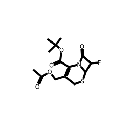 CC(=O)OCC1=C(C(=O)OC(C)(C)C)N2C(=O)C(F)C2SC1